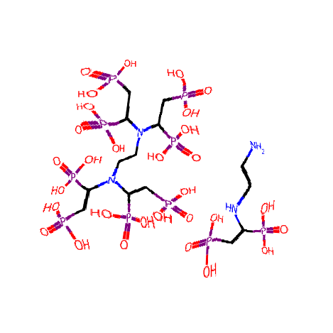 NCCNC(CP(=O)(O)O)P(=O)(O)O.O=P(O)(O)CC(N(CCN(C(CP(=O)(O)O)P(=O)(O)O)C(CP(=O)(O)O)P(=O)(O)O)C(CP(=O)(O)O)P(=O)(O)O)P(=O)(O)O